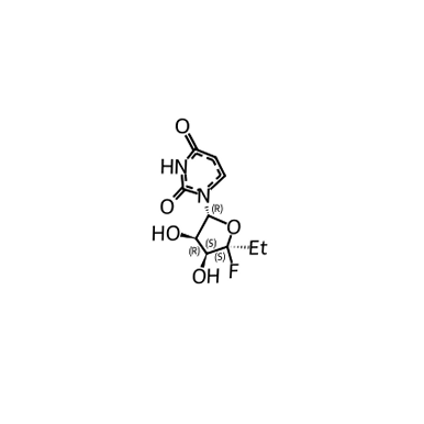 CC[C@@]1(F)O[C@@H](n2ccc(=O)[nH]c2=O)[C@H](O)[C@@H]1O